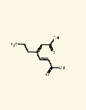 CCCC(C=CC(=O)O)=CC(=O)O